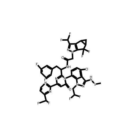 CSNc1nn(CC(F)F)c2c(-n3c(C(Cc4cc(F)cc(F)c4)NC(=O)Cn4nc(C(F)F)c5c4C(F)(F)C4CC54)nc(-c4nccc(C(F)F)n4)cc3=O)ccc(Cl)c12